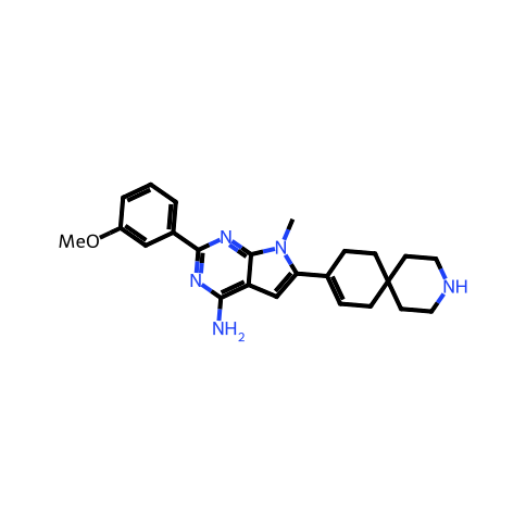 COc1cccc(-c2nc(N)c3cc(C4=CCC5(CCNCC5)CC4)n(C)c3n2)c1